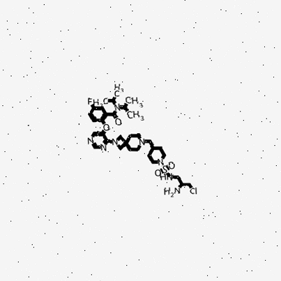 CC(C)N(C(=O)c1cc(F)ccc1Oc1cncnc1N1CC2(CCN(CC3CCN(S(=O)(=O)NCC(N)CCl)CC3)CC2)C1)C(C)C